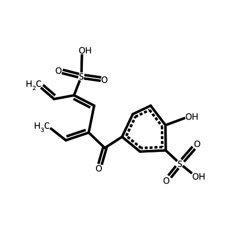 C=C/C(=C\C(=C/C)C(=O)c1ccc(O)c(S(=O)(=O)O)c1)S(=O)(=O)O